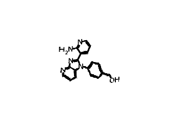 Nc1ncccc1-c1nc2ncccc2n1-c1ccc(CO)cc1